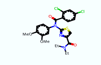 CCN(CC)C(=O)c1csc(N(C(=O)c2ccc(Cl)cc2Cl)c2ccc(OC)c(OC)c2)n1